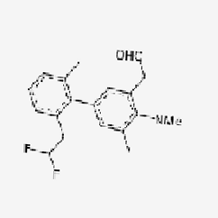 CNc1c(C)cc(-c2c(C)cccc2CC(F)F)cc1CC=O